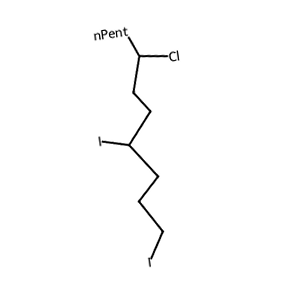 CCCCCC(Cl)CCC(I)CCCI